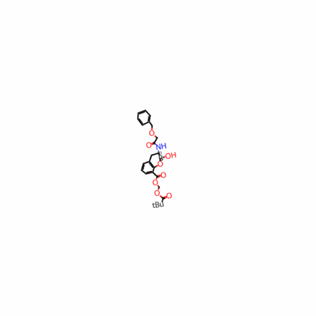 CC(C)(C)C(=O)OCOC(=O)c1cccc2c1OB(O)[C@@H](NC(=O)COCc1ccccc1)C2